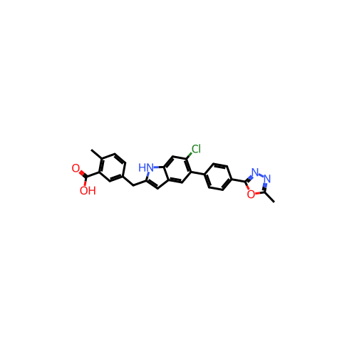 Cc1nnc(-c2ccc(-c3cc4cc(Cc5ccc(C)c(C(=O)O)c5)[nH]c4cc3Cl)cc2)o1